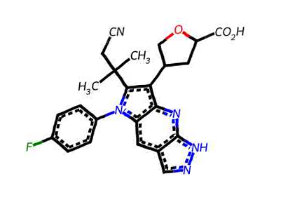 CC(C)(CC#N)c1c(C2COC(C(=O)O)C2)c2nc3[nH]ncc3cc2n1-c1ccc(F)cc1